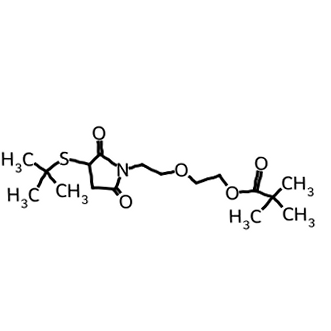 CC(C)(C)SC1CC(=O)N(CCOCCOC(=O)C(C)(C)C)C1=O